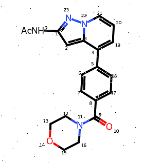 CC(=O)Nc1cc2c(-c3ccc(C(=O)N4CCOCC4)cc3)cccn2n1